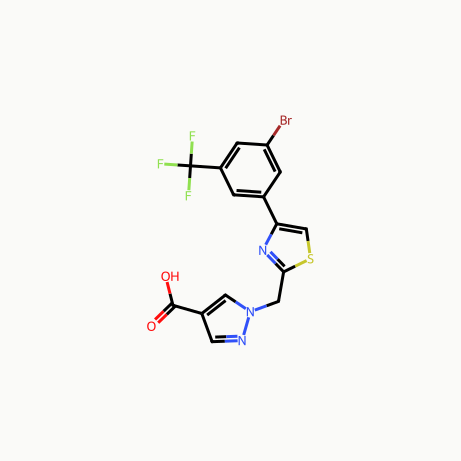 O=C(O)c1cnn(Cc2nc(-c3cc(Br)cc(C(F)(F)F)c3)cs2)c1